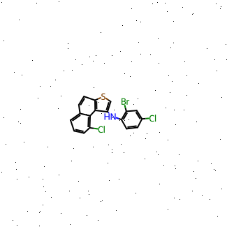 Clc1ccc(Nc2csc3ccc4cccc(Cl)c4c23)c(Br)c1